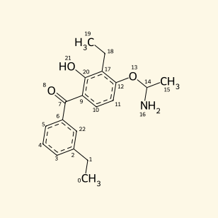 CCc1cccc(C(=O)c2ccc(OC(C)N)c(CC)c2O)c1